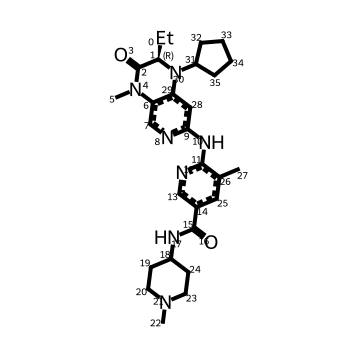 CC[C@@H]1C(=O)N(C)c2cnc(Nc3ncc(C(=O)NC4CCN(C)CC4)cc3C)cc2N1C1CCCC1